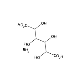 B.O=C(O)C(O)C(O)C(O)C(O)C(=O)O